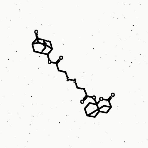 O=C(CCSSCCC(=O)OC12CCC3CC(CC1C3)C(=O)O2)OC1C2CC3CC(C2)C(=O)OC1C3